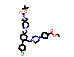 CCOC(=O)c1ccc(N2CCN(CC3=C(c4ccc(Cl)cc4)CCC(C)(CN4CCC5(CC4)CN(C(=O)OC(C)(C)C)C5)C3)CC2)cc1